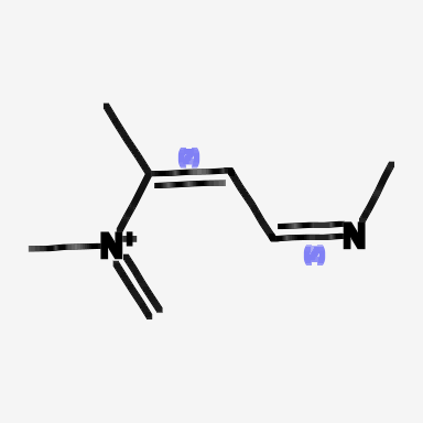 C=[N+](C)/C(C)=C\C=N/C